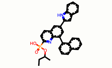 CCC(C)OP(=O)(O)c1ccc2cc(-c3cc4ccccc4[nH]3)cc(-c3cccc4ccccc34)c2n1